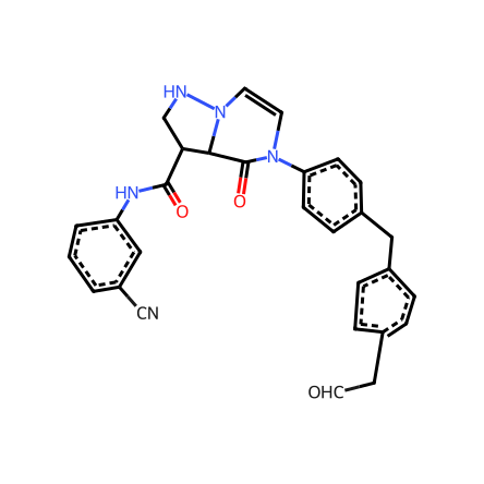 N#Cc1cccc(NC(=O)C2CNN3C=CN(c4ccc(Cc5ccc(CC=O)cc5)cc4)C(=O)C23)c1